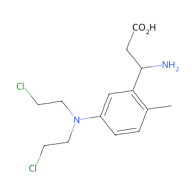 Cc1ccc(N(CCCl)CCCl)cc1C(N)CC(=O)O